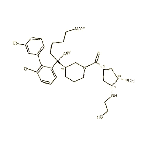 CCc1cccc(-c2c(Cl)cccc2C(O)(CCCCOC)[C@@H]2CCCN(C(=O)[C@@H]3C[C@H](O)[C@H](NCCO)C3)C2)c1